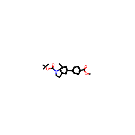 COC(=O)c1ccc(-c2cc(C)c3c(c2)CCN3C(=O)OC(C)(C)C)cc1